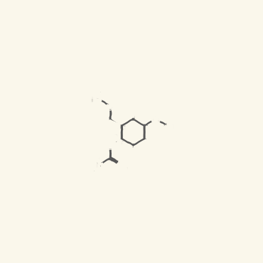 CC(C)OC1CC[C@H](OC(N)=O)[C@@H](CSC(C)C)C1